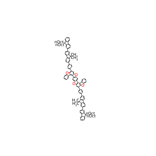 CCCCCCCCC1(CCCCCCCC)c2ccccc2-c2ccc(-c3ccc4c(c3)C(C)(C)c3cc(-c5ccc(-c6cc7oc8cc9c(cc8c7c7c6oc6ccccc67)oc6cc(-c7ccc(-c8ccc%10c(c8)C(C)(C)c8cc(-c%11ccc%12c(c%11)C(CCCCCCCC)(CCCCCCCC)c%11ccccc%11-%12)ccc8-%10)cc7)c7oc8ccccc8c7c69)cc5)ccc3-4)cc21